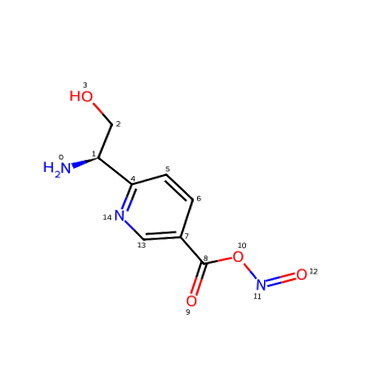 N[C@@H](CO)c1ccc(C(=O)ON=O)cn1